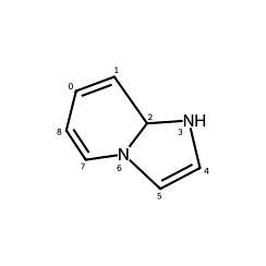 C1=CC2NC=CN2C=C1